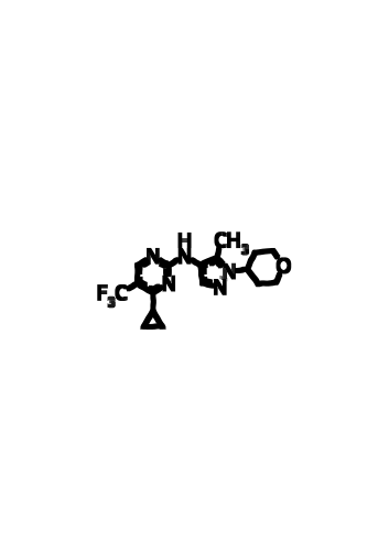 Cc1c(Nc2ncc(C(F)(F)F)c(C3CC3)n2)cnn1C1CCOCC1